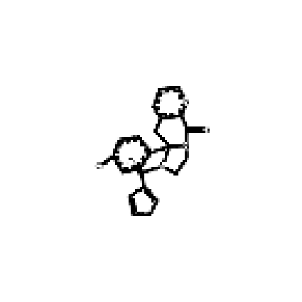 O=C(C1=CCC=C1)N1CCN2C(=O)c3ncccc3CC12c1ccc(Cl)cc1